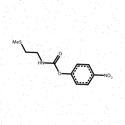 CSCCNC(=O)Oc1ccc([N+](=O)[O-])cc1